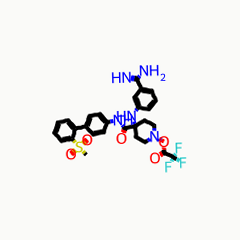 CS(=O)(=O)c1ccccc1-c1ccc(NC(=O)C2(Nc3cccc(C(=N)N)c3)CCN(OC(=O)C(F)(F)F)CC2)cc1